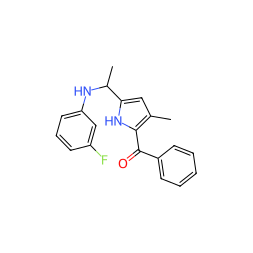 Cc1cc(C(C)Nc2cccc(F)c2)[nH]c1C(=O)c1ccccc1